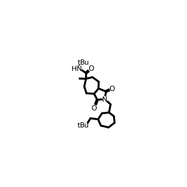 CC(C)(C)CC1CCCCC(CN2C(=O)C3CCC(C)(C(=O)NC(C)(C)C)CCC3C2=O)C1